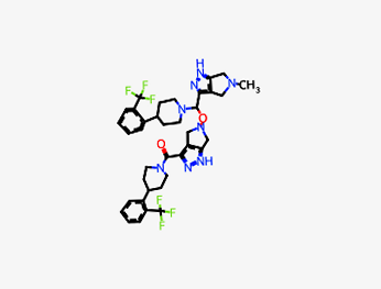 CN1Cc2[nH]nc(C(ON3Cc4[nH]nc(C(=O)N5CCC(c6ccccc6C(F)(F)F)CC5)c4C3)N3CCC(c4ccccc4C(F)(F)F)CC3)c2C1